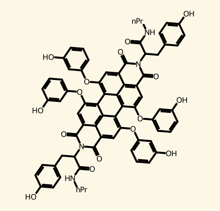 CCCNC(=O)C(Cc1ccc(O)cc1)N1C(=O)c2cc(Oc3cccc(O)c3)c3c4c(Oc5cccc(O)c5)cc5c6c(cc(Oc7cccc(O)c7)c(c7c(Oc8cccc(O)c8)cc(c2c37)C1=O)c64)C(=O)N(C(Cc1ccc(O)cc1)C(=O)NCCC)C5=O